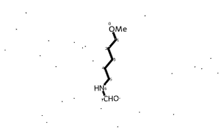 [CH2]OCCCCCN[C]=O